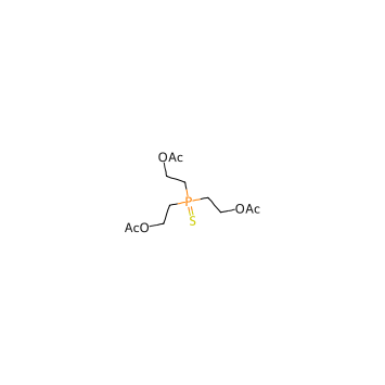 CC(=O)OCCP(=S)(CCOC(C)=O)CCOC(C)=O